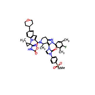 CNS(=O)(=O)c1ccc(-n2ccn(-c3c4c(nn3-c3cc(C)c(F)c(C)c3)CCN(C(=O)c3cc5cc(C6CCOCC6)ccc5n3[C@@]3(c5noc(=O)[nH]5)C[C@@H]3C)C4C)c2=O)cc1